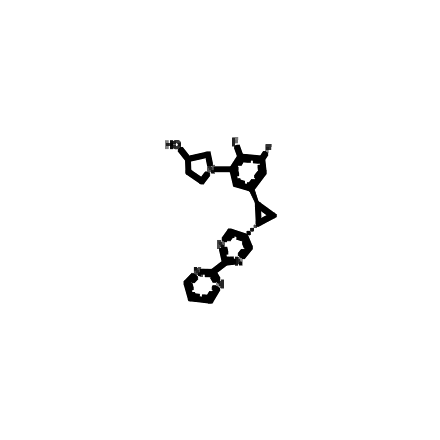 OC1CCN(c2cc([C@H]3C[C@@H]3c3cnc(-c4ncccn4)nc3)cc(F)c2F)C1